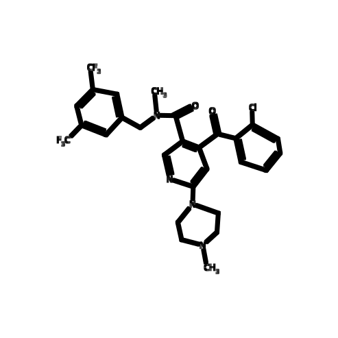 CN1CCN(c2cc(C(=O)c3ccccc3Cl)c(C(=O)N(C)Cc3cc(C(F)(F)F)cc(C(F)(F)F)c3)cn2)CC1